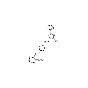 Cc1oc(-c2ccco2)nc1COc1ccc(COc2ncccc2C=O)cc1